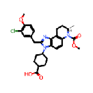 COC(=O)N1c2ccc3c(nc(Cc4ccc(OC)c(Cl)c4)n3C3CCC(C(=O)O)CC3)c2CC[C@@H]1C